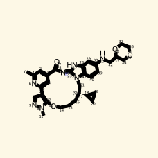 Cc1cc2cc(n1)-c1cnn(C)c1OCCC[C@@H](C1CC1)CN1/C(=N/C2=O)Nc2cc(NCC3COCCO3)ccc21